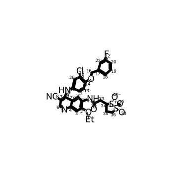 CCOc1cc2ncc(C#N)c(Nc3ccc(OCc4cccc(F)c4)c(Cl)c3)c2cc1NC(=O)CC1CCS(=O)(=O)[S+]1[O-]